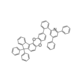 c1ccc(-c2cc(-c3ccccc3)nc(-c3ccccc3-c3ccc4c(c3)Oc3c(ccc5c3-c3ccccc3C5(c3ccccc3)c3ccccc3)O4)c2)cc1